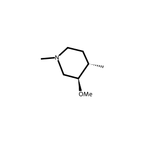 CO[C@H]1CN(C)CC[C@@H]1C